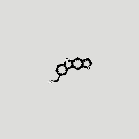 OCc1ccc2oc3cc4ccoc4cc3c2c1